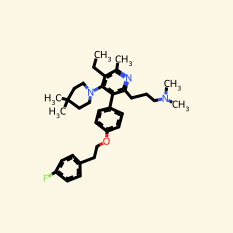 CCc1c(C)nc(CCCN(C)C)c(-c2ccc(OCCc3ccc(F)cc3)cc2)c1N1CCC(C)(C)CC1